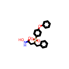 O=C(CC(Cc1ccccc1)S(=O)(=O)c1ccc(Oc2ccccc2)cc1)NO